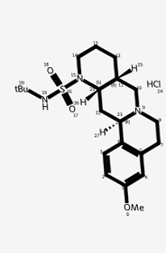 COc1ccc2c(c1)CCN1C[C@H]3CCCN(S(=O)(=O)NC(C)(C)C)[C@H]3C[C@H]21.Cl